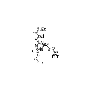 C/C=C\C[C@H](C)c1nc(C=C(Cl)/C=C\CC)nc(CC/C=C\CCC)n1